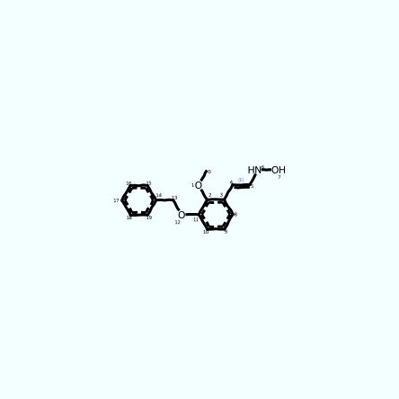 COc1c(/C=C/NO)cccc1OCc1ccccc1